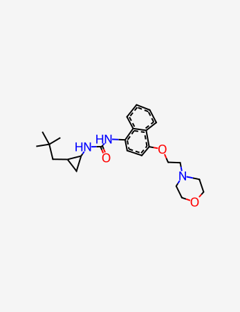 CC(C)(C)CC1CC1NC(=O)Nc1ccc(OCCN2CCOCC2)c2ccccc12